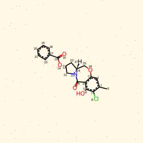 Cc1cc2c(c(O)c1Cl)C(=O)N1C[C@H](OC(=O)c3ccccc3)C[C@@H]1CO2